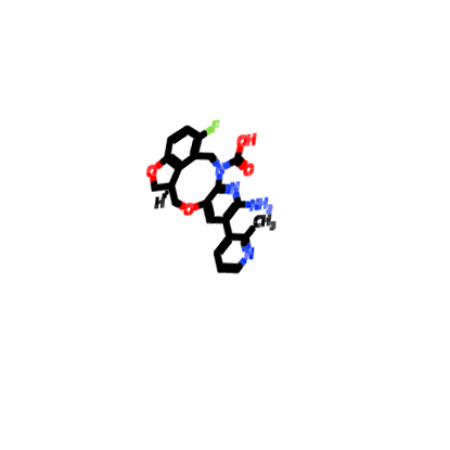 Cc1ncccc1-c1cc2c(nc1N)N(C(=O)O)Cc1c(F)ccc3c1[C@@H](CO2)CO3